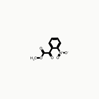 COC(=O)C(=O)c1ccccc1[N+](=O)[O-]